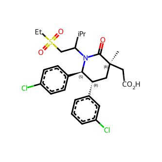 CCS(=O)(=O)CC(C(C)C)N1C(=O)[C@@](C)(CC(=O)O)C[C@H](c2cccc(Cl)c2)[C@H]1c1ccc(Cl)cc1